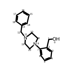 OCc1ccccc1N1CCN(Cc2ccccc2)CC1